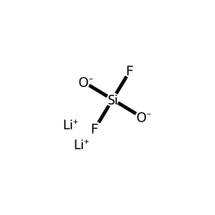 [Li+].[Li+].[O-][Si]([O-])(F)F